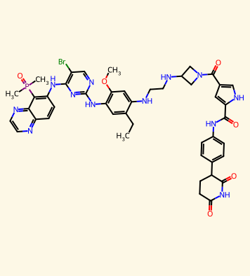 CCc1cc(Nc2ncc(Br)c(Nc3ccc4nccnc4c3P(C)(C)=O)n2)c(OC)cc1NCCNC1CN(C(=O)c2c[nH]c(C(=O)Nc3ccc(C4CCC(=O)NC4=O)cc3)c2)C1